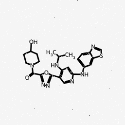 CC(C)Nc1cc(Nc2ccc3ncsc3c2)ncc1-c1nnc(C(=O)N2CCC(O)CC2)o1